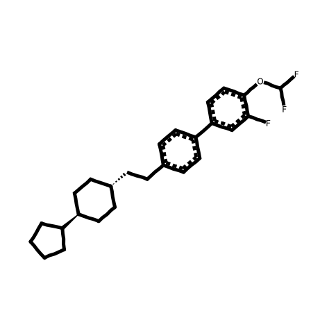 Fc1cc(-c2ccc(CC[C@H]3CC[C@H](C4CCCC4)CC3)cc2)ccc1OC(F)F